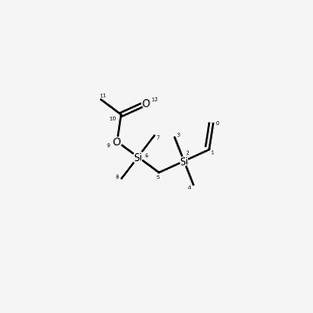 C=C[Si](C)(C)C[Si](C)(C)OC(C)=O